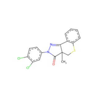 CC12CSc3ccccc3C1=NN(c1ccc(Cl)c(Cl)c1)C2=O